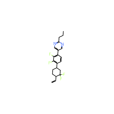 C=CC1CCC(c2ccc(-c3cnc(CCC)nc3)c(F)c2F)CC1(F)F